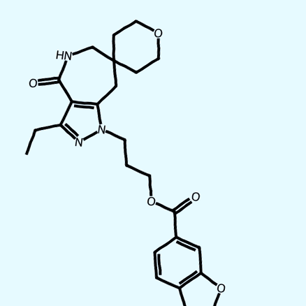 CCc1nn(CCCOC(=O)c2ccc3c(c2)OCO3)c2c1C(=O)NCC1(CCOCC1)C2